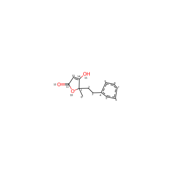 CC1(CCc2ccccc2)OC(=O)C=C1O